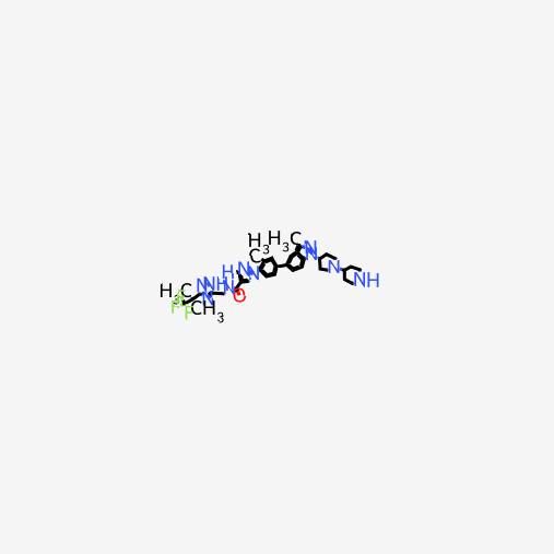 Cc1cc(-c2ccc3c(c2)c(C)nn3C2CCN(C3CCNCC3)CC2)ccc1-n1cc(C(=O)NCc2nc(C(C)(C)C(F)(F)F)n[nH]2)cn1